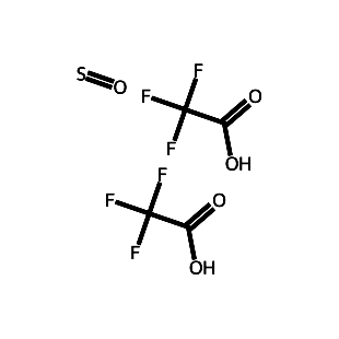 O=C(O)C(F)(F)F.O=C(O)C(F)(F)F.O=S